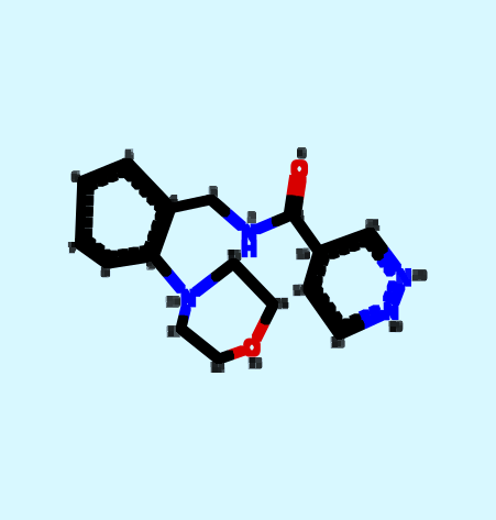 O=C(NCc1ccccc1N1CCOCC1)c1ccnnc1